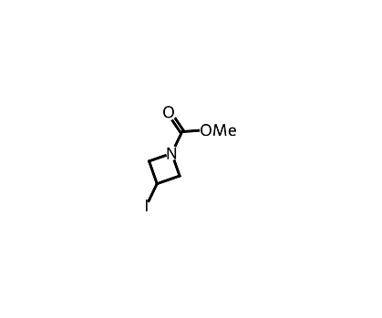 COC(=O)N1CC(I)C1